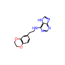 c1nc(NCCc2ccc3c(c2)OCCO3)c2[nH]cnc2n1